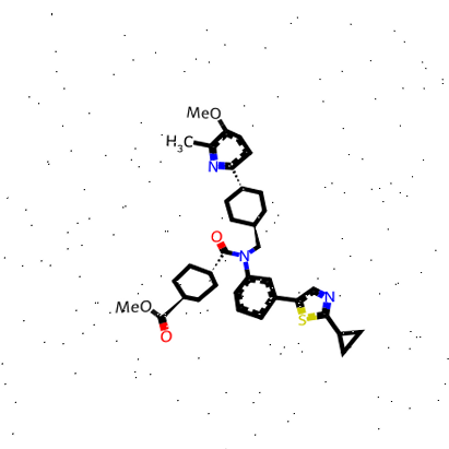 COc1ccc([C@H]2CC[C@H](CN(c3cccc(-c4cnc(C5CC5)s4)c3)C(=O)[C@H]3CC[C@H](C(=O)OC)CC3)CC2)nc1C